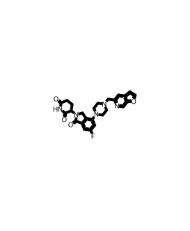 O=C1CCC(N2Cc3c(cc(F)cc3N3CCN(Cc4cc5ccoc5cn4)CC3)C2=O)C(=O)N1